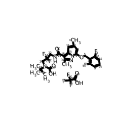 Cc1cc(OCc2c(F)cccc2F)n2nc(C)c(C(=O)NCC(F)(F)CN(C(=O)O)C(C)(C)C)c2c1.O=C(O)C(F)(F)F